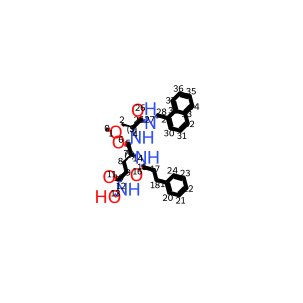 COC[C@H](NC(=O)[C@H](CCC(=O)NO)NC(=O)CCc1ccccc1)C(=O)NCc1cccc2ccccc12